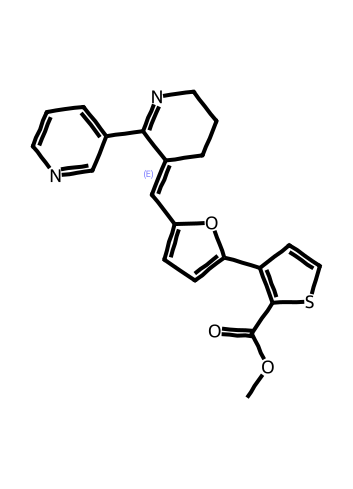 COC(=O)c1sccc1-c1ccc(/C=C2\CCCN=C2c2cccnc2)o1